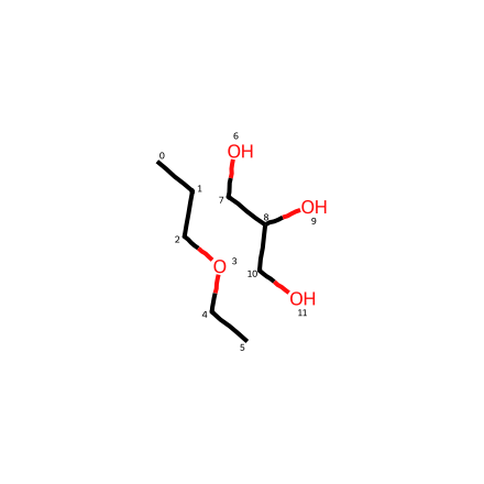 CCCOCC.OCC(O)CO